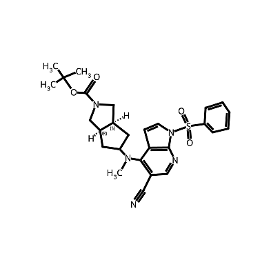 CN(c1c(C#N)cnc2c1ccn2S(=O)(=O)c1ccccc1)C1C[C@@H]2CN(C(=O)OC(C)(C)C)C[C@@H]2C1